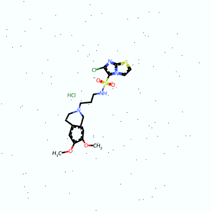 COc1cc2c(cc1OC)CN(CCCNS(=O)(=O)c1c(Cl)nc3sccn13)CC2.Cl